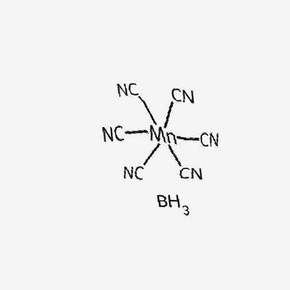 B.N#[C][Mn]([C]#N)([C]#N)([C]#N)([C]#N)[C]#N